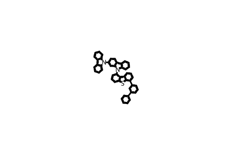 c1ccc(-c2cccc(-c3cccc4c3sc3cccc(-n5c6ccccc6c6ccc(-n7c8ccccc8c8ccccc87)cc65)c34)c2)cc1